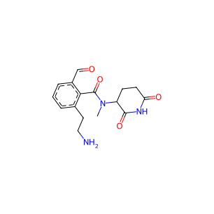 CN(C(=O)c1c(C=O)cccc1CCN)C1CCC(=O)NC1=O